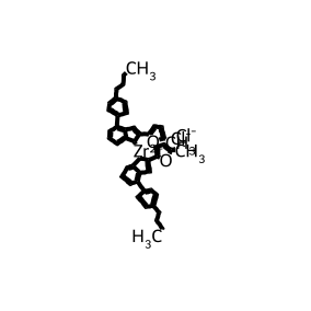 CCCCc1ccc(-c2cccc3c2C=C(c2ccc(C)o2)[CH]3[Zr+2][CH]2C(c3ccc(C)o3)=Cc3c(-c4ccc(CCCC)cc4)cccc32)cc1.[Cl-].[Cl-]